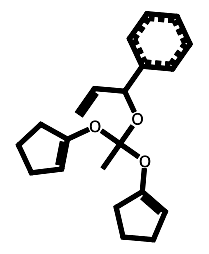 C=CC(OC(C)(OC1=CCCC1)OC1=CCCC1)c1ccccc1